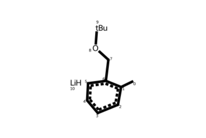 Cc1ccccc1COC(C)(C)C.[LiH]